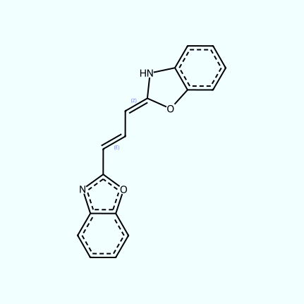 C(/C=C/c1nc2ccccc2o1)=C1\Nc2ccccc2O1